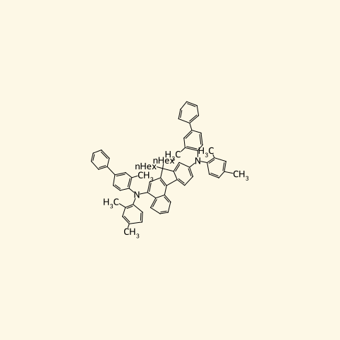 CCCCCCC1(CCCCCC)c2cc(N(c3ccc(C)cc3C)c3ccc(-c4ccccc4)cc3C)ccc2-c2c1cc(N(c1ccc(C)cc1C)c1ccc(-c3ccccc3)cc1C)c1ccccc21